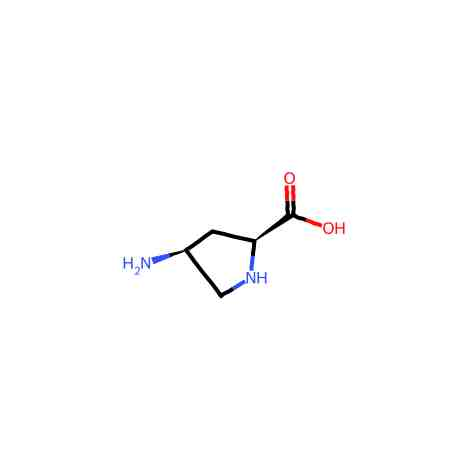 N[C@@H]1CN[C@H](C(=O)O)C1